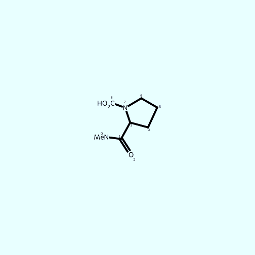 CNC(=O)C1CCCN1C(=O)O